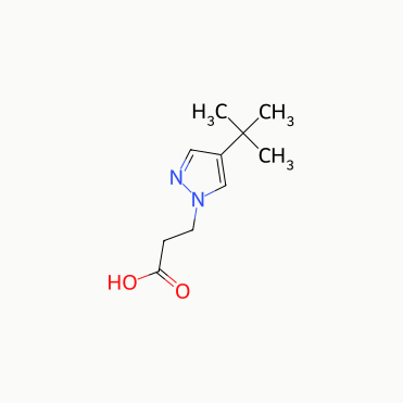 CC(C)(C)c1cnn(CCC(=O)O)c1